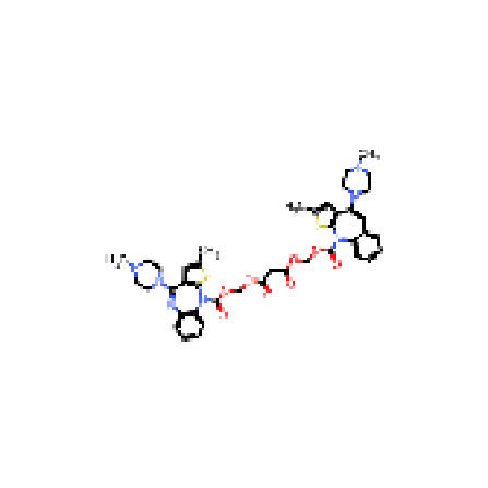 Cc1cc2c(s1)N(C(=O)OCOC(=O)CC(=O)OCOC(=O)N1c3ccccc3N=C(N3CCN(C)CC3)c3cc(C)sc31)c1ccccc1C=C2N1CCN(C)CC1